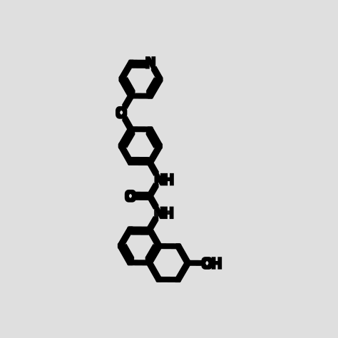 O=C(Nc1ccc(Oc2ccncc2)cc1)Nc1cccc2c1CC(O)CC2